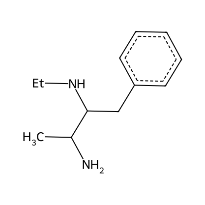 CCNC(Cc1ccccc1)C(C)N